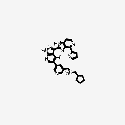 Fc1c(-c2cncc(CNCC3CCCC3)c2)cnc2[nH]nc(-c3nc4c(-c5cccs5)nccc4[nH]3)c12